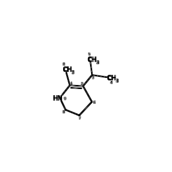 CC1=C(C(C)C)CCCN1